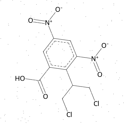 O=C(O)c1cc([N+](=O)[O-])cc([N+](=O)[O-])c1C(CCl)CCl